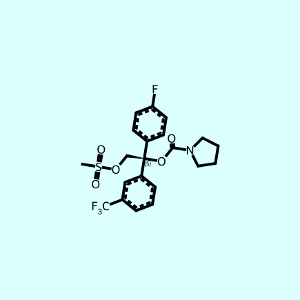 CS(=O)(=O)OC[C@](OC(=O)N1CCCC1)(c1ccc(F)cc1)c1cccc(C(F)(F)F)c1